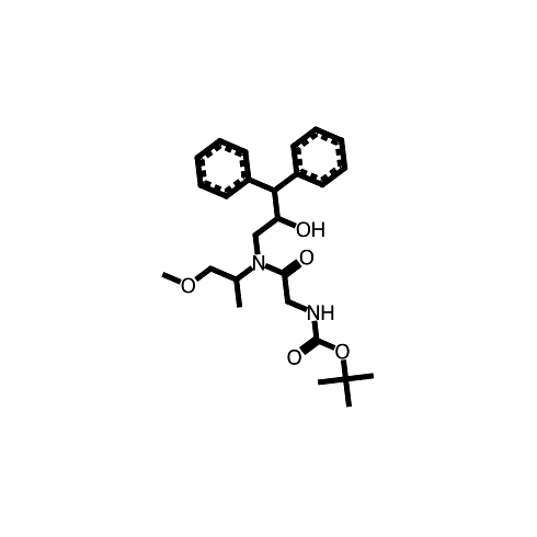 COCC(C)N(CC(O)C(c1ccccc1)c1ccccc1)C(=O)CNC(=O)OC(C)(C)C